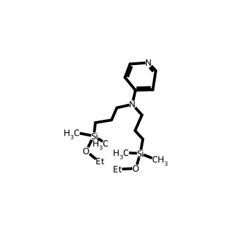 CCO[Si](C)(C)CCCN(CCC[Si](C)(C)OCC)c1ccncc1